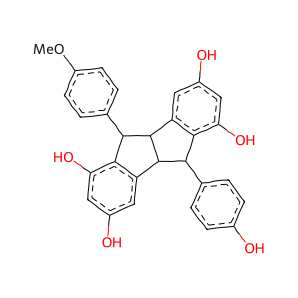 COc1ccc(C2c3c(O)cc(O)cc3C3C(c4ccc(O)cc4)c4c(O)cc(O)cc4C23)cc1